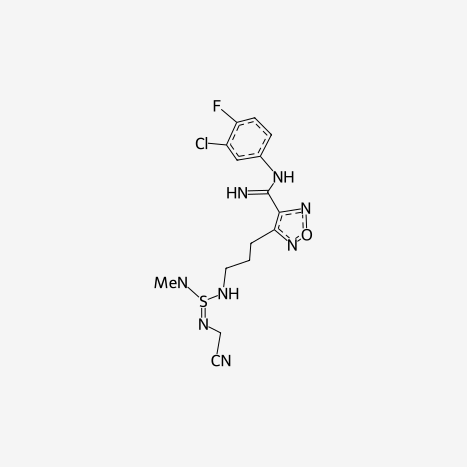 CN/S(=N/CC#N)NCCCc1nonc1C(=N)Nc1ccc(F)c(Cl)c1